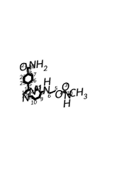 CNC(=O)OCCNc1ccc2ncc(-c3ccc(C(N)=O)cc3)n2n1